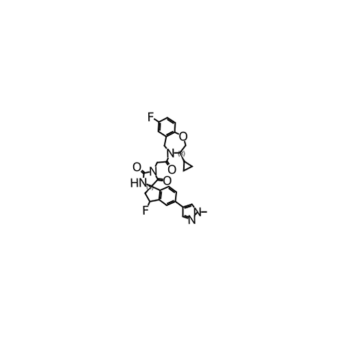 Cn1cc(-c2ccc3c(c2)C(F)C[C@]32NC(=O)N(CC(=O)N3Cc4cc(F)ccc4OC[C@H]3C3CC3)C2=O)cn1